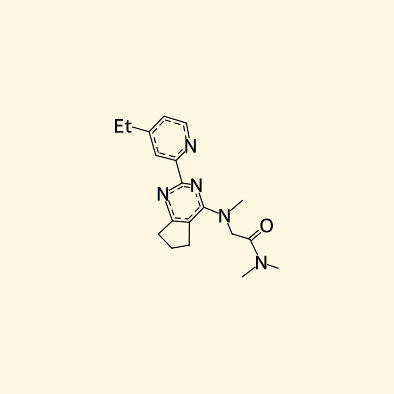 CCc1ccnc(-c2nc3c(c(N(C)CC(=O)N(C)C)n2)CCC3)c1